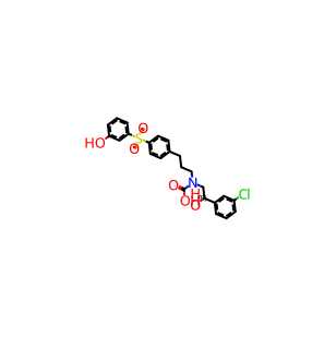 O=C(O)N(CCCc1ccc(S(=O)(=O)c2cccc(O)c2)cc1)C[C@H](O)c1cccc(Cl)c1